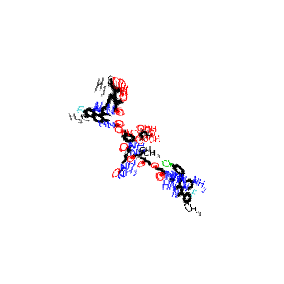 CC[C@@]1(O)C(=O)OCc2c1cc1n(c2=O)Cc2c-1nc1cc(F)c(C)c3c1c2C(CNC(=O)OCc1ccc(NC(=O)[C@H](CCCNC(N)=O)NC(=O)[C@@H](CCC(=O)CCOCCC(=O)NCCNc2ncc(-c4cc(C)cc(F)c4)c(N4CCC(N)CC4)c2-c2nc4ccc(Cl)cc4[nH]2)C(C)C)c(O[C@@H]2O[C@H](C(=O)O)[C@@H](O)[C@H](O)[C@H]2O)c1)CC3